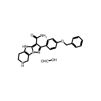 NC(=O)c1c(-c2ccc(OCc3ccccc3)cc2)nn2c3c([nH]c12)CCNC3.O=CO